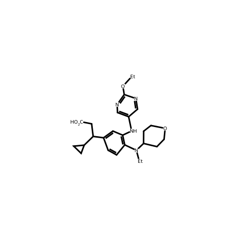 CCOc1ncc(Nc2cc(C(CC(=O)O)C3CC3)ccc2N(CC)C2CCOCC2)cn1